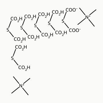 C[N+](C)(C)C.C[N+](C)(C)C.O=C(O)SC(=O)O.O=C(O)SC(=O)O.O=C(O)SC(=O)O.O=C(O)SC(=O)O.O=C(O)SC(=O)O.O=C([O-])SC(=O)[O-]